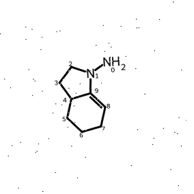 NN1CCC2CCCC=C21